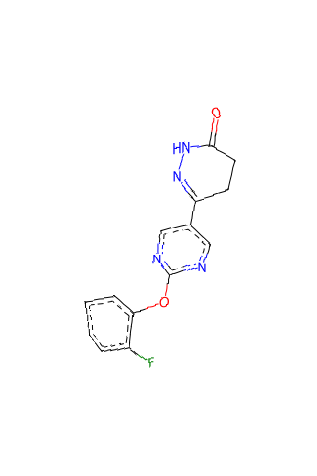 O=C1CCC(c2cnc(Oc3ccccc3F)nc2)=NN1